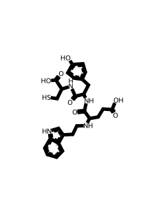 O=C(O)CCC(NCCc1c[nH]c2ccccc12)C(=O)NC(Cc1ccc(O)cc1)C(=O)NC(CS)C(=O)O